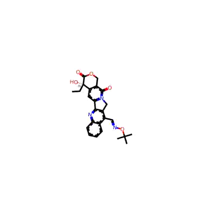 CC[C@@]1(O)C(=O)OCc2c1cc1n(c2=O)Cc2c-1nc1ccccc1c2C=NOC(C)(C)C